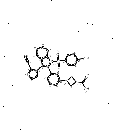 N#Cc1sccc1-c1c(-c2cccc(N3CC(C(=O)O)C3)c2)n(S(=O)(=O)c2ccc(Cl)cc2)c2ccccc12